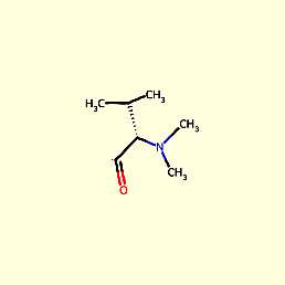 CC(C)[C@@H]([C]=O)N(C)C